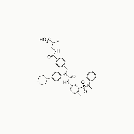 Cc1ccc(NC(=O)N(Cc2ccc(C(=O)NCC(F)C(=O)O)cc2)c2ccc(C3CCCCC3)cc2)cc1S(=O)(=O)N(C)c1ccccc1